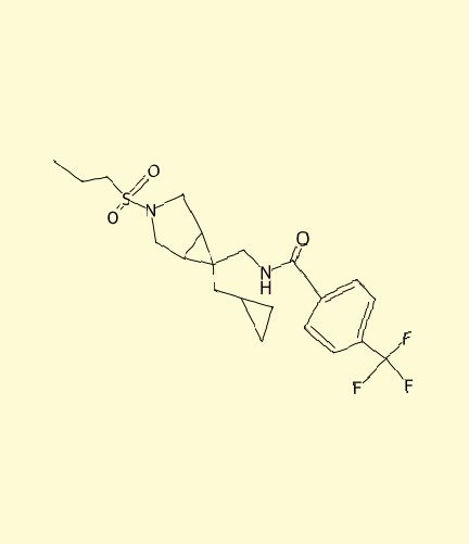 CCCS(=O)(=O)N1CC2C(C1)C2(CNC(=O)c1ccc(C(F)(F)F)cc1)CC1CC1